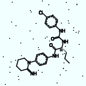 CCC[C@@H](NC(=O)Nc1ccc(Cl)cc1)C(=O)Nc1ccc(N2CCCCC2=N)cc1